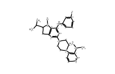 CC(C)C1Cc2nc(N3CCN(c4ccnnc4N(C)C)CC3)nc(Nc3cccc(F)c3)c2[S+]1[O-]